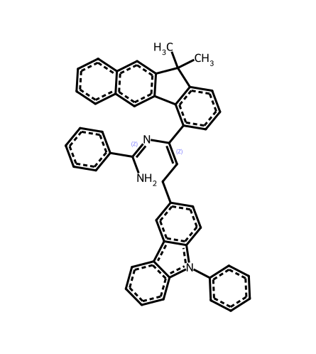 CC1(C)c2cc3ccccc3cc2-c2c(C(=C/Cc3ccc4c(c3)c3ccccc3n4-c3ccccc3)/N=C(\N)c3ccccc3)cccc21